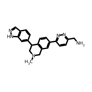 CN1Cc2cc(-c3ccc(CN)nn3)ccc2C(c2ccc3cn[nH]c3c2)C1